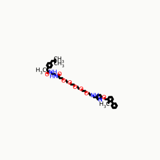 Cc1c(COc2ccc(CNCCOCCOCCOCCOCCOCCC(=O)NCCNC(=O)C(C)c3ccc(CC(C)C)cc3)cn2)cccc1-c1ccccc1